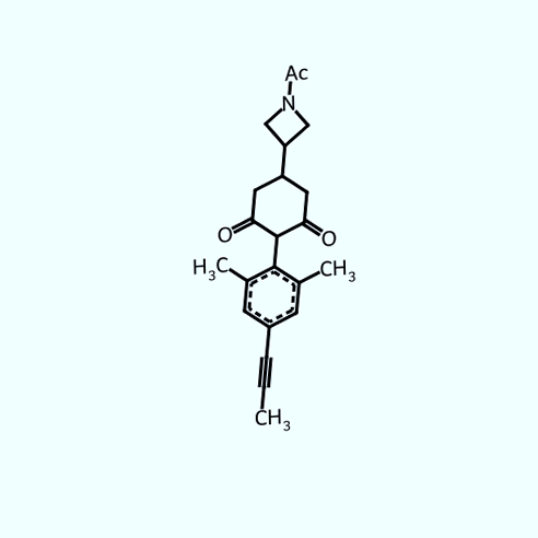 CC#Cc1cc(C)c(C2C(=O)CC(C3CN(C(C)=O)C3)CC2=O)c(C)c1